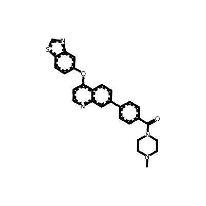 CN1CCN(C(=O)c2ccc(-c3ccc4c(Oc5ccc6scnc6c5)ccnc4c3)cc2)CC1